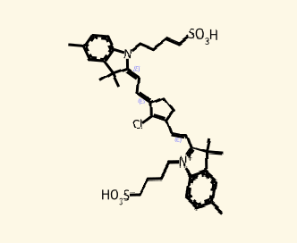 Cc1ccc2c(c1)C(C)(C)C(/C=C/C1=C(Cl)C(=C/C=C3/N(CCCCS(=O)(=O)O)c4ccc(C)cc4C3(C)C)/CC1)=[N+]2CCCCS(=O)(=O)O